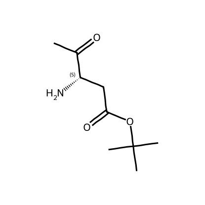 CC(=O)[C@@H](N)CC(=O)OC(C)(C)C